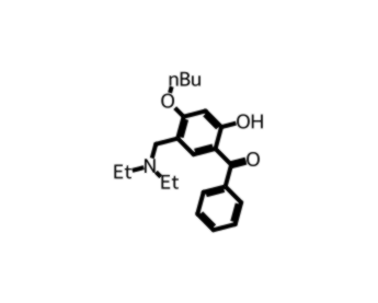 CCCCOc1cc(O)c(C(=O)c2ccccc2)cc1CN(CC)CC